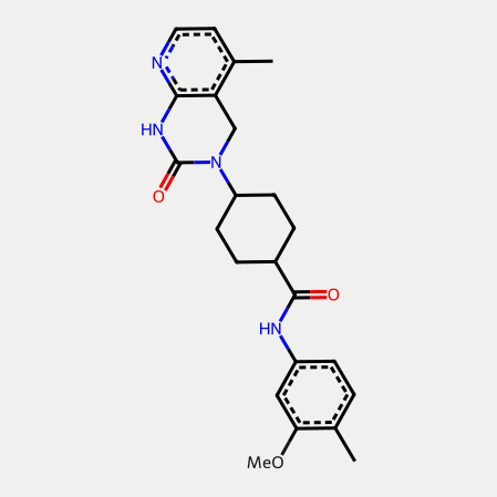 COc1cc(NC(=O)C2CCC(N3Cc4c(C)ccnc4NC3=O)CC2)ccc1C